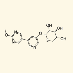 COc1ncc(-c2cncc(O[C@H]3SC[C@@H](O)[C@H](O)[C@H]3O)c2)cn1